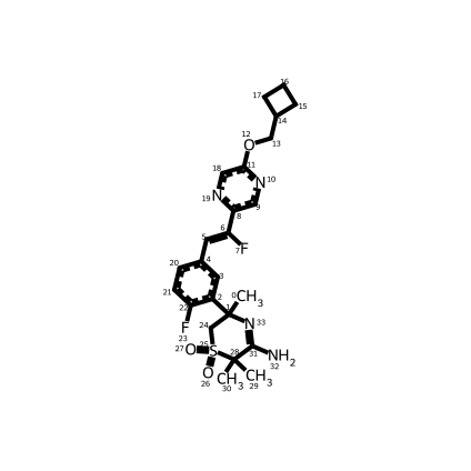 CC1(c2cc(C=C(F)c3cnc(OCC4CCC4)cn3)ccc2F)CS(=O)(=O)C(C)(C)C(N)=N1